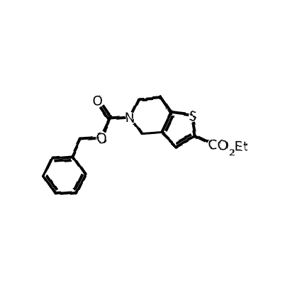 CCOC(=O)c1cc2c(s1)CCN(C(=O)OCc1ccccc1)C2